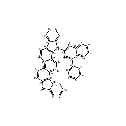 c1ccc(-c2nc(-n3c4ccccc4c4ccc5c6ccc7sc8ccccc8c7c6ccc5c43)nc3ccccc23)cc1